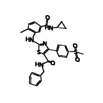 Cc1ccc(C(=O)NC2CC2)cc1Nc1nc(-c2ccc(S(C)(=O)=O)cc2)c(C(=O)NCc2ccccc2)s1